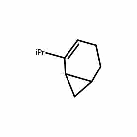 CC(C)C1=CCCC2C[C]12